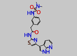 CN(C)S(=O)(=O)Nc1cccc(CC(=O)Nc2nc(-c3c[nH]c4ncccc34)cs2)c1